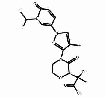 CC(O)(C(=O)O)[C@H]1OCCN(c2nn(-c3ccc(=O)n(C(F)F)c3)cc2F)C1=O